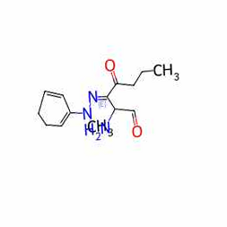 CCCC(=O)/C(=N/N(C)C1=CCCC=C1)C(N)C=O